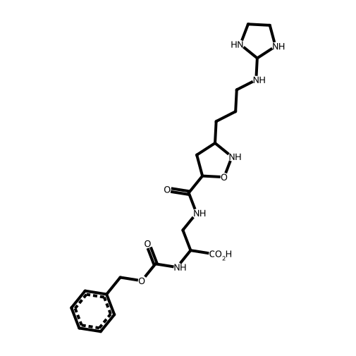 O=C(NC(CNC(=O)C1CC(CCCNC2NCCN2)NO1)C(=O)O)OCc1ccccc1